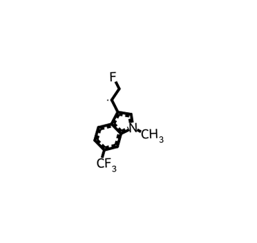 Cn1cc([CH]CF)c2ccc(C(F)(F)F)cc21